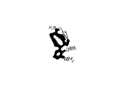 COc1c(N)cccc1-c1ccc(C(N)=O)c2[nH]ccc12